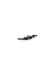 CCCCCCCc1ccc2cc(C(=O)Oc3ccc([C@H]4CC[C@H](CCC)CC4)cc3)ccc2c1